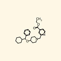 CCOC(=O)c1ccnc(CN2CCC(OC(c3ccccc3)C3CCCCC3)CC2)c1